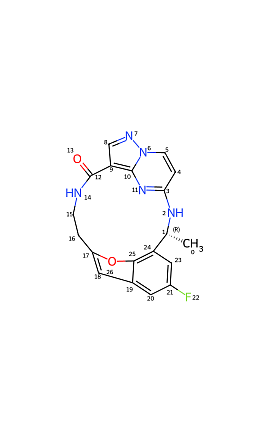 C[C@H]1Nc2ccn3ncc(c3n2)C(=O)NCCc2cc3cc(F)cc1c3o2